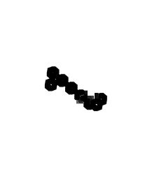 C1=Cc2c(c3cc(-c4ccc(-c5cnc(-c6ccc7c(n6)C6=C(CCC=N6)CC7)nc5)cc4)ccc3c3ccccc23)CC1